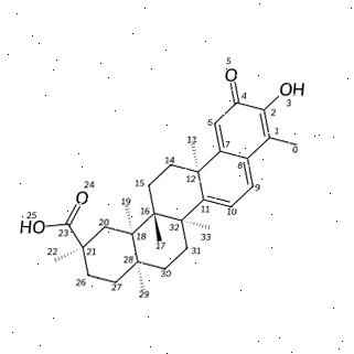 CC1=C(O)C(=O)C=C2C1=CC=C1[C@@]2(C)CC[C@@]2(C)[C@]3(C)C[C@](C)(C(=O)O)CC[C@]3(C)CC[C@]12C